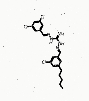 CCCCCc1cc(Cl)cc(/C=N/NC(=N)N/N=C/c2cc(Cl)cc(Cl)c2)c1